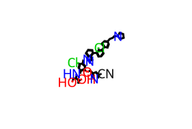 C=C(O)C(CO)NCc1cc(Cl)c(Cn2ncc3c(-c4cccc(-c5ccc(CCCN6CCCC6)cc5)c4Cl)cccc32)cc1OCc1cncc(C#N)c1